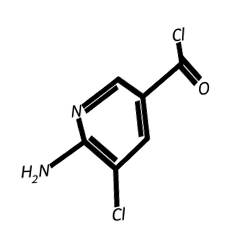 Nc1ncc(C(=O)Cl)cc1Cl